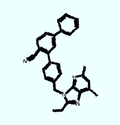 CCc1nc2c(C)cc(C)nc2n1Cc1ccc(-c2cc(-c3ccccc3)ccc2C#N)cc1